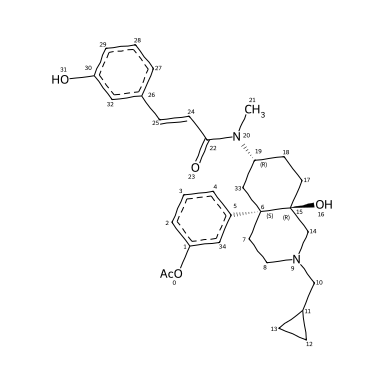 CC(=O)Oc1cccc([C@@]23CCN(CC4CC4)C[C@@]2(O)CC[C@@H](N(C)C(=O)C=Cc2cccc(O)c2)C3)c1